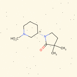 CC1(C)CCN([C@H]2CCCN(C(=O)O)C2)C1=O